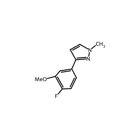 COc1cc(-c2ccn(C)n2)ccc1F